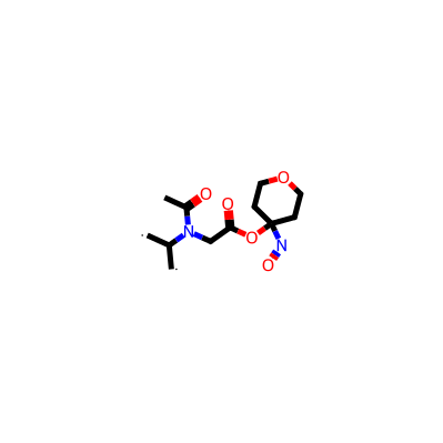 [CH2]C([CH2])N(CC(=O)OC1(N=O)CCOCC1)C(C)=O